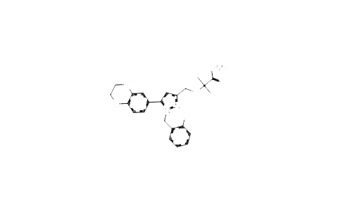 COC(=O)C(C)(C)OCc1cc(-c2ccc3c(c2)OCCO3)n(Cc2ccccc2Cl)n1